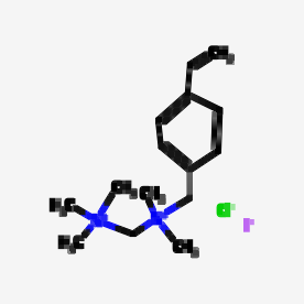 C=Cc1ccc(C[N+](C)(C)C[N+](C)(C)C)cc1.[Cl-].[I-]